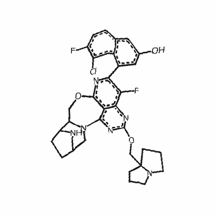 Oc1cc(-c2nc3c4c(nc(OCC56CCCN5CCC6)nc4c2F)N2CC4CCC(N4)C2CO3)c2c(Cl)c(F)ccc2c1